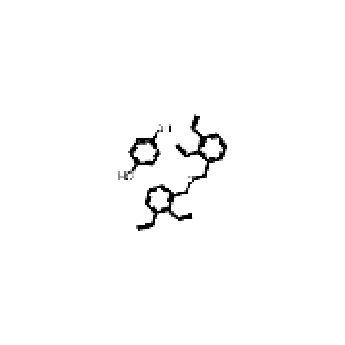 C=Cc1cccc(COCc2cccc(C=C)c2C=C)c1C=C.Oc1ccc(O)cc1